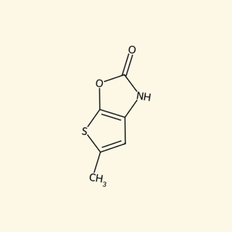 Cc1cc2[nH]c(=O)oc2s1